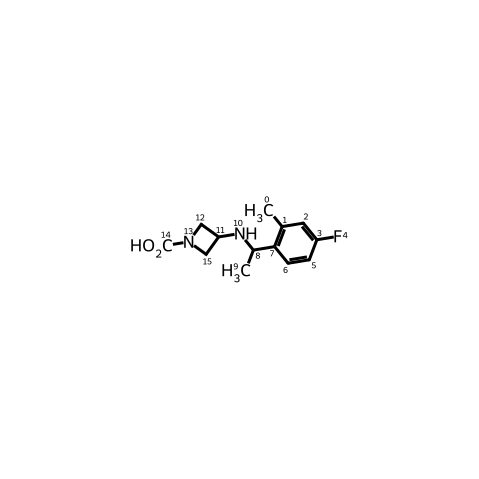 Cc1cc(F)ccc1C(C)NC1CN(C(=O)O)C1